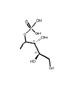 CC(OP(=O)(O)O)[C@H](O)[C@H](O)CO